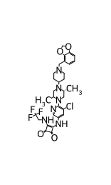 C[C@@H]1CN(c2ncc(Nc3c(NCC(F)(F)F)c(=O)c3=O)cc2Cl)[C@@H](C)CN1C1CCN(Cc2cccc3c2OCO3)CC1